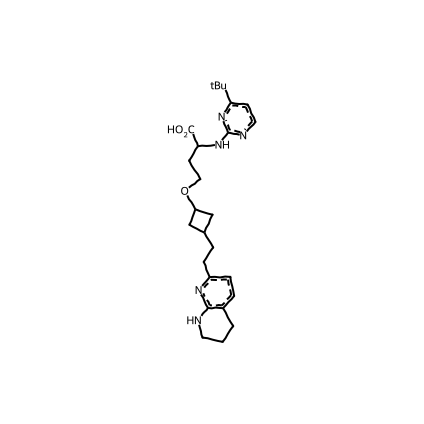 CC(C)(C)c1ccnc(NC(CCOC2CC(CCc3ccc4c(n3)NCCC4)C2)C(=O)O)n1